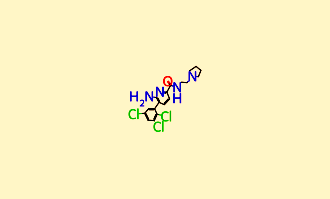 Nc1nc(C(=O)NCCN2CCCC2)ccc1-c1cc(Cl)cc(Cl)c1Cl